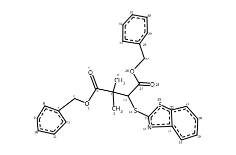 CC(C)(C(=O)OCc1ccccc1)C(Sc1nc2ccccc2s1)C(=O)OCc1ccccc1